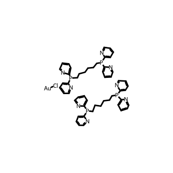 [Cl][Au].c1ccc(P(CCCCCCP(c2ccccn2)c2ccccn2)c2ccccn2)nc1.c1ccc(P(CCCCCCP(c2ccccn2)c2ccccn2)c2ccccn2)nc1